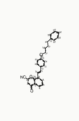 N#Cc1cc(=O)c2cccc(C=Cc3ccc(OCCCCc4ccccc4)cc3)c2o1